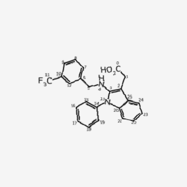 O=C(O)Cc1c(NCc2cccc(C(F)(F)F)c2)n(-c2ccccc2)c2ccccc12